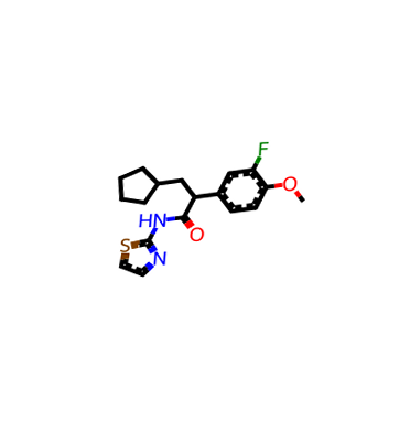 COc1ccc(C(CC2CCCC2)C(=O)Nc2nccs2)cc1F